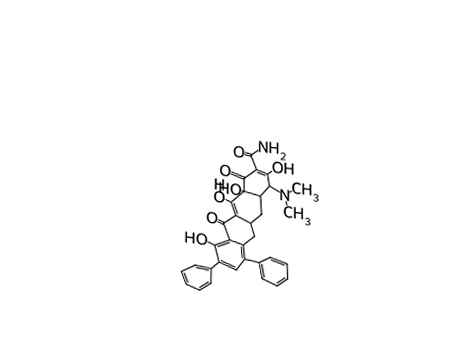 CN(C)C1C(O)=C(C(N)=O)C(=O)C2(O)C(O)=C3C(=O)c4c(O)c(-c5ccccc5)cc(-c5ccccc5)c4CC3CC12